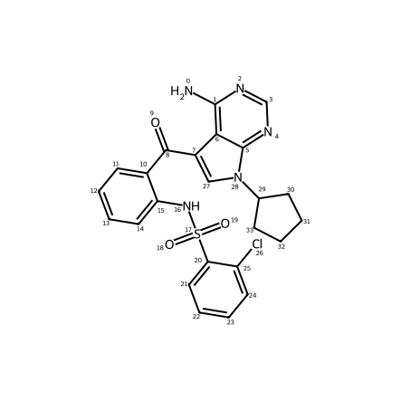 Nc1ncnc2c1c(C(=O)c1ccccc1NS(=O)(=O)c1ccccc1Cl)cn2C1CCCC1